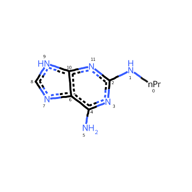 CCCNc1nc(N)c2nc[nH]c2n1